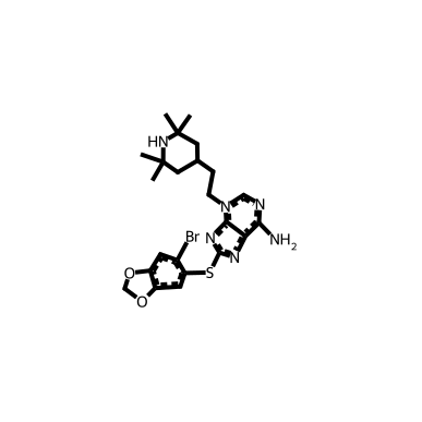 CC1(C)CC(CCn2cnc(N)c3nc(Sc4cc5c(cc4Br)OCO5)nc2-3)CC(C)(C)N1